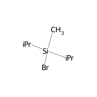 CC(C)[Si](C)(Br)C(C)C